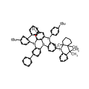 Cc1cc2c3c(c1)N(c1ccc(C(C)(C)C)cc1-c1ccccc1)c1cc(-c4ccccc4)ccc1B3c1ccc(N3c4ccccc4C(C)(C)C4(C)CCCCC34C)cc1N2c1ccc(C(C)(C)C)cc1